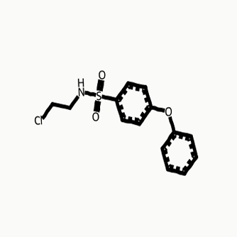 O=S(=O)(NCCCl)c1ccc(Oc2ccccc2)cc1